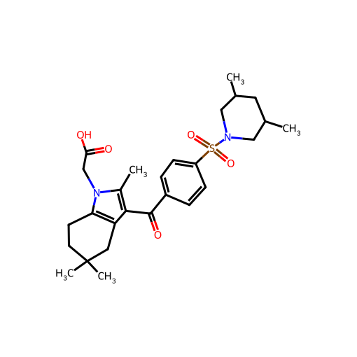 Cc1c(C(=O)c2ccc(S(=O)(=O)N3CC(C)CC(C)C3)cc2)c2c(n1CC(=O)O)CCC(C)(C)C2